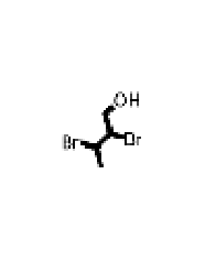 CC(Br)C(Br)CO